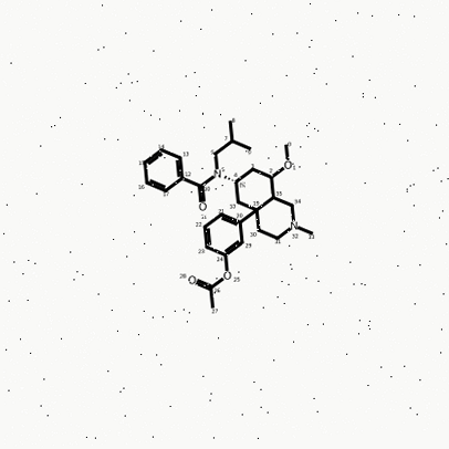 COC1C[C@@H](N(CC(C)C)C(=O)c2ccccc2)CC2(c3cccc(OC(C)=O)c3)CCN(C)CC12